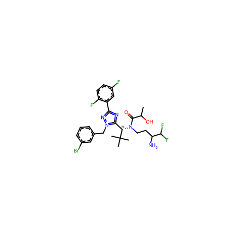 CC(O)C(=O)N(CCC(N)C(F)F)[C@@H](c1nc(-c2cc(F)ccc2F)nn1Cc1cccc(Br)c1)C(C)(C)C